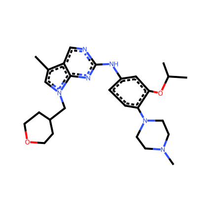 Cc1cn(CC2CCOCC2)c2nc(Nc3ccc(N4CCN(C)CC4)c(OC(C)C)c3)ncc12